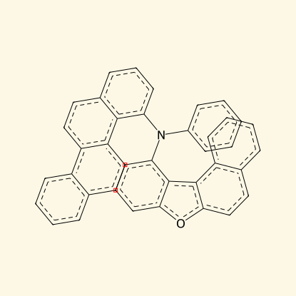 c1ccc(N(c2cccc3ccc4c5ccccc5ccc4c23)c2cccc3oc4ccc5ccccc5c4c23)cc1